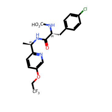 C[C@@H](NC(=O)[C@@H](Cc1ccc(Cl)cc1)NC(=O)O)c1ccc(OCC(F)(F)F)cn1